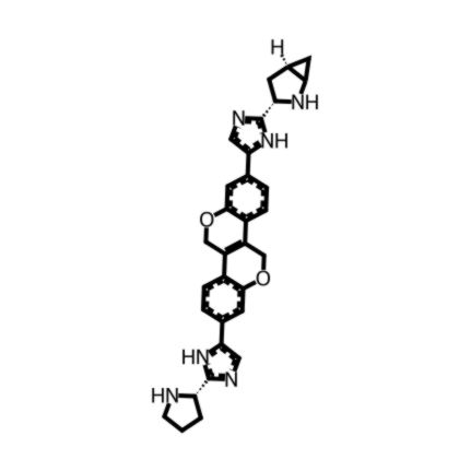 c1cc2c(cc1-c1cnc([C@@H]3CCCN3)[nH]1)OCC1=C2COc2cc(-c3cnc([C@@H]4C[C@H]5CC5N4)[nH]3)ccc21